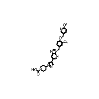 COc1ccc(COc2ccc(Cn3cnc4cc(-c5cnn(C6CCN(C(=O)O)CC6)c5)cnc43)cc2OC)cn1